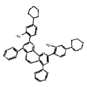 Cc1cc(C2CCCCC2)ccc1-c1cc(-c2ccccc2)c2ccc3c(-c4ccccc4)cc(-c4ccc(C5CCCCC5)cc4C)nc3c2n1